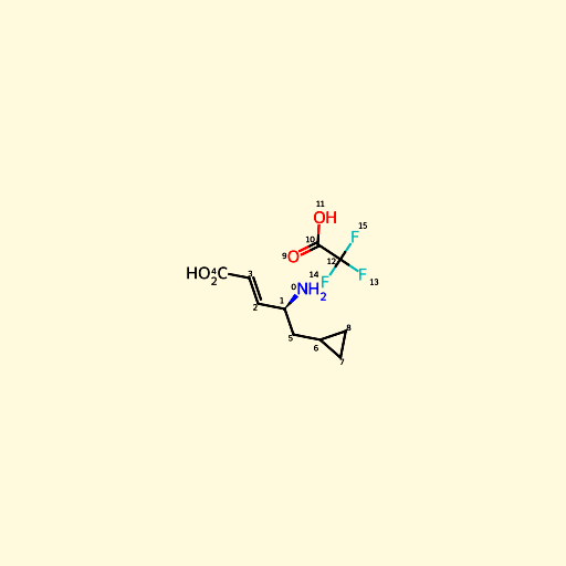 N[C@H](C=CC(=O)O)CC1CC1.O=C(O)C(F)(F)F